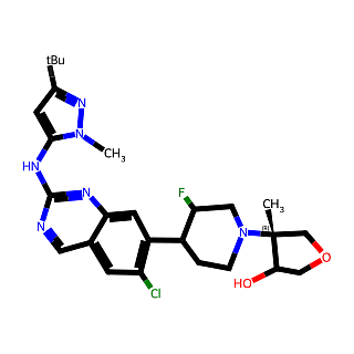 Cn1nc(C(C)(C)C)cc1Nc1ncc2cc(Cl)c(C3CCN([C@]4(C)COCC4O)CC3F)cc2n1